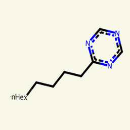 CCCCC[CH]CCCCc1ncncn1